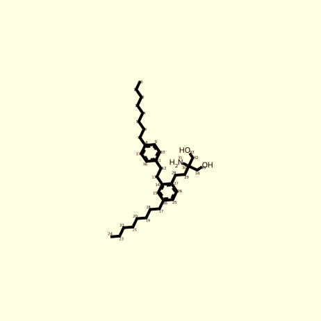 CCCCCCCCc1ccc(CCc2cc(CCCCCCCC)ccc2CCC(N)(CO)CO)cc1